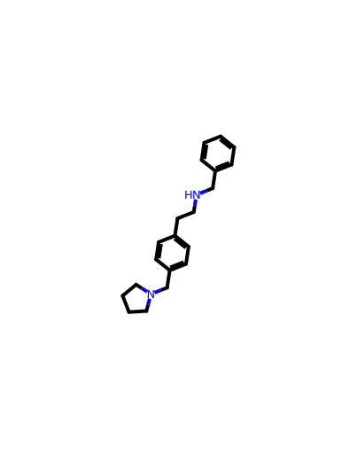 c1ccc(CNCCc2ccc(CN3CCCC3)cc2)cc1